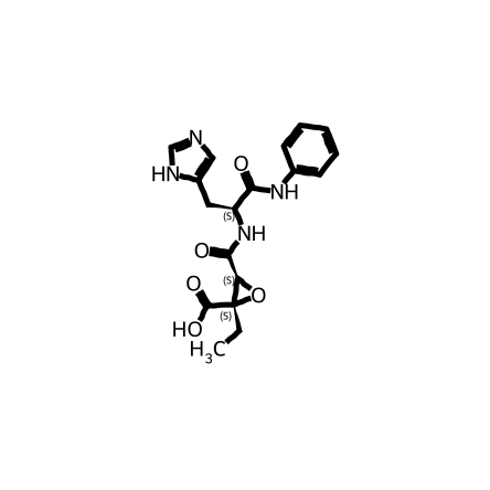 CC[C@]1(C(=O)O)O[C@@H]1C(=O)N[C@@H](Cc1cnc[nH]1)C(=O)Nc1ccccc1